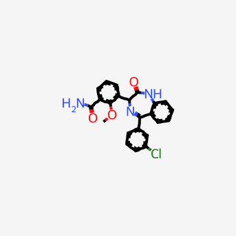 COc1c(C(N)=O)cccc1C1N=C(c2cccc(Cl)c2)c2ccccc2NC1=O